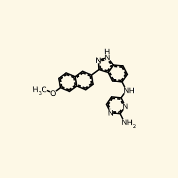 COc1ccc2cc(-c3n[nH]c4ccc(Nc5ccnc(N)n5)cc34)ccc2c1